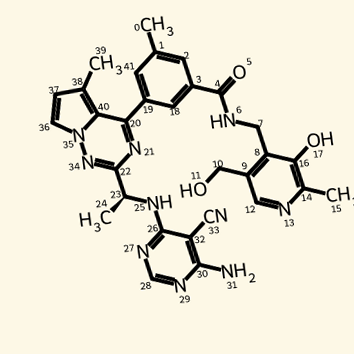 Cc1cc(C(=O)NCc2c(CO)cnc(C)c2O)cc(-c2nc([C@H](C)Nc3ncnc(N)c3C#N)nn3ccc(C)c23)c1